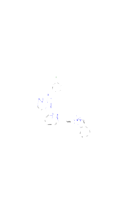 Fc1ccc2c(c1)CN(c1nccc(-c3cccc(C#Cn4ncc5ccccc54)n3)n1)C2